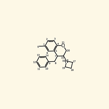 Cc1ccc2c(c1)C(Cc1ccccc1)C(N1CCC1)CO2